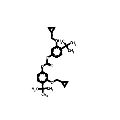 CC(C)(C)c1ccc(OC(=O)Oc2ccc(C(C)(C)C)c(OCC3CC3)c2)cc1OCC1CC1